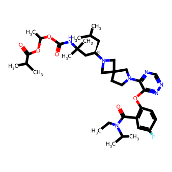 CCN(C(=O)c1cc(F)ccc1Oc1nncnc1N1CCC2(C1)CN([C@H](CC(C)C)CC(C)(C)NC(=O)OC(C)OC(=O)C(C)C)C2)C(C)C